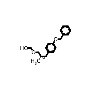 C[C@H](COCO)Cc1ccc(OCc2ccccc2)cc1